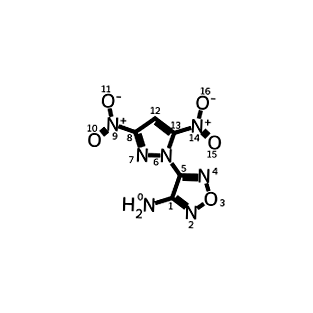 Nc1nonc1-n1nc([N+](=O)[O-])cc1[N+](=O)[O-]